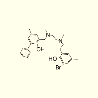 Cc1cc(Br)c(O)c(CCN(C)CCN(C)Cc2cc(C)cc(-c3ccccc3)c2O)c1